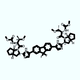 COC(=O)N[C@H](C(=O)N1[C@@H]2CCC[C@@H]2C[C@H]1c1ncc(-c2ccc3c(c2)C(F)(F)c2cc(-c4cnc([C@@H]5C[C@@H]6CCC[C@@H]6N5C(=O)[C@@H](NC(=O)OC)[C@@H](C)OC)[nH]4)ccc2-3)[nH]1)[C@@H](C)OC